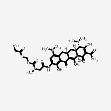 CCCCN(CC(=O)Nc1cc(N(C)C)c2c(c1O)C(=O)C1=C(O)[C@]3(O)C(=O)C(C(N)=O)=C(O)[C@@H](N(C)C)[C@@H]3C[C@@H]1C2)C(=O)OCOC(=O)CC(C)(C)C